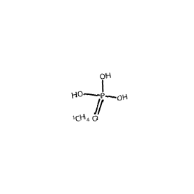 O=P(O)(O)O.[1CH4]